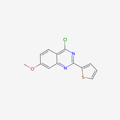 COc1ccc2c(Cl)nc(-c3cccs3)nc2c1